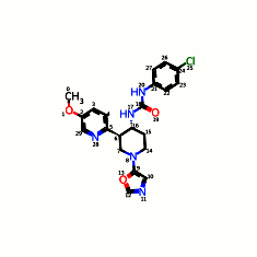 COc1ccc([C@@H]2CN(c3cnco3)CC[C@H]2NC(=O)Nc2ccc(Cl)cc2)nc1